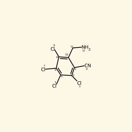 N#Cc1c(Cl)c(Cl)c(Cl)c(Cl)c1CN